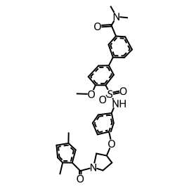 COc1ccc(-c2cccc(C(=O)N(C)C)c2)cc1S(=O)(=O)Nc1cccc(OC2CCN(C(=O)c3cc(C)ccc3C)C2)c1